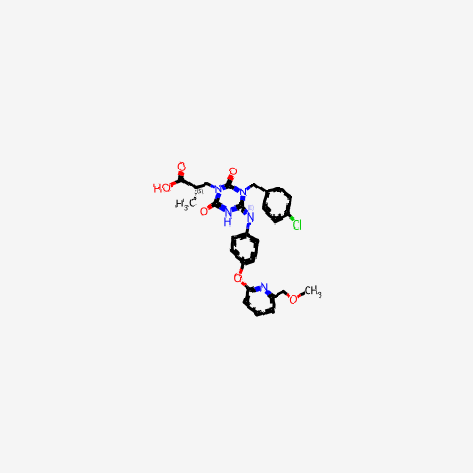 COCc1cccc(Oc2ccc(/N=c3\[nH]c(=O)n(C[C@H](C)C(=O)O)c(=O)n3Cc3ccc(Cl)cc3)cc2)n1